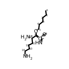 CCCCCCOC(=O)[C@@H](N)CCCCN.N=C=O